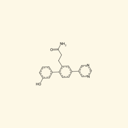 NC(=O)CCc1cc(-c2cncnc2)ccc1-c1cccc(O)c1